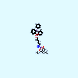 CC(C)(C)OC(=O)NCCCCCOC(=O)c1ccccc1P(c1ccccc1)c1ccccc1